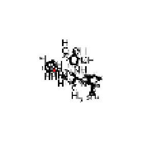 Cc1nc(NC[C@@H]2CC[C@H]3C[C@@H]2C3(C)C)nc(N[C@@H]2C[C@H](CO)[C@@H](O)[C@H]2O)c1-c1nc2c(C3CC3)nccc2s1